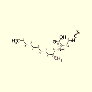 CCCCCCCCCC(C)CNC(CCN=C=S)C(=O)O